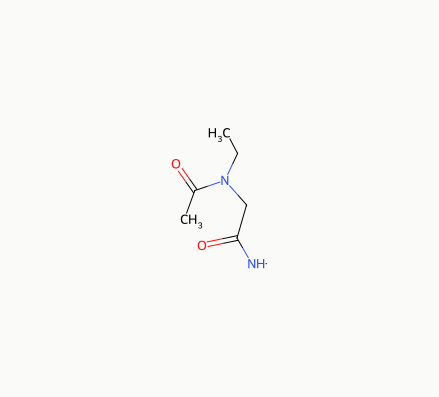 CCN(CC([NH])=O)C(C)=O